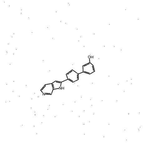 Oc1cccc(-c2ccc(-c3cc4ccncc4[nH]3)cc2)c1